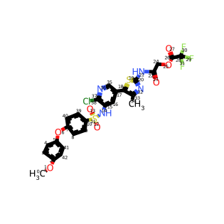 COc1ccc(Oc2ccc(S(=O)(=O)Nc3cc(-c4sc(NC(=O)COC(=O)C(F)(F)F)nc4C)cnc3Cl)cc2)cc1